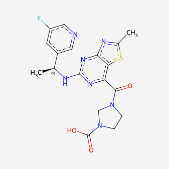 Cc1nc2nc(N[C@@H](C)c3cncc(F)c3)nc(C(=O)N3CCN(C(=O)O)C3)c2s1